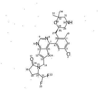 Cc1cc(Cl)cc(-c2ncnc3cc(CN4C(=O)CCC4C(F)F)sc23)c1C[C@@H]1CNCC(C)(C)O1